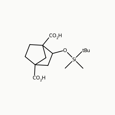 CC(C)(C)[Si](C)(C)OC1CC2(C(=O)O)CCC1(C(=O)O)C2